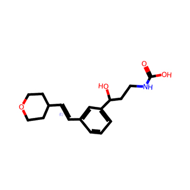 O=C(O)NCCC(O)c1cccc(/C=C/C2CCOCC2)c1